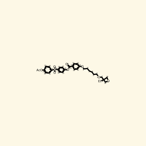 CCC1(COCCCCCCOc2ccc(C(=O)Oc3ccc(S(=O)(=O)c4ccc(OC(C)=O)cc4)cc3)cc2)COC1